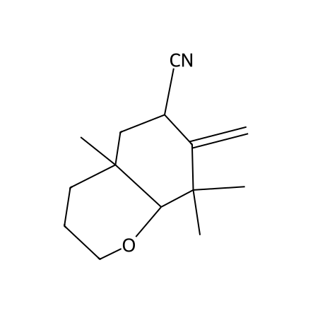 C=C1C(C#N)CC2(C)CCCOC2C1(C)C